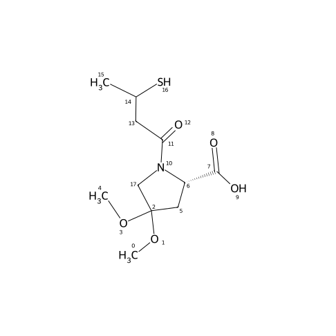 COC1(OC)C[C@@H](C(=O)O)N(C(=O)CC(C)S)C1